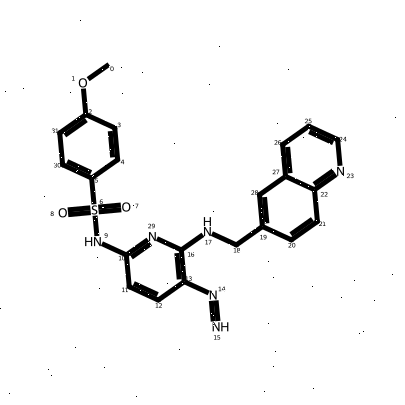 COc1ccc(S(=O)(=O)Nc2ccc(N=N)c(NCc3ccc4ncccc4c3)n2)cc1